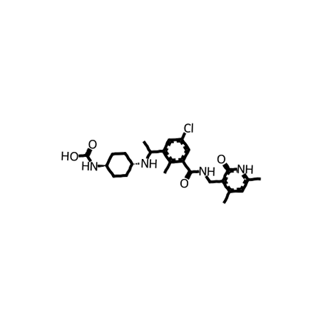 Cc1cc(C)c(CNC(=O)c2cc(Cl)cc(C(C)N[C@H]3CC[C@H](NC(=O)O)CC3)c2C)c(=O)[nH]1